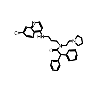 O=C(C(c1ccccc1)c1ccccc1)N(CCCNc1ccnc2cc(Cl)ccc12)CCN1CCCC1